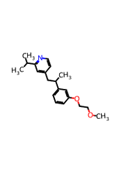 COCCOc1cccc(C(C)Cc2ccnc(C(C)C)c2)c1